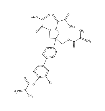 C=C(C)C(=O)OCC(COC(=O)C(=O)OC)(COC(=O)C(=O)OC)c1ccc(-c2ccc(OC(=O)C(=C)C)c(CC)c2)cc1